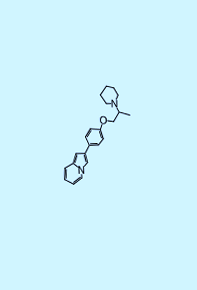 CC(COc1ccc(-c2cc3ccccn3c2)cc1)N1CCCCC1